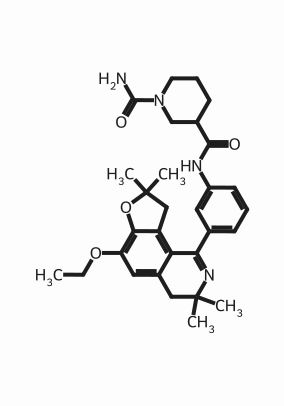 CCOc1cc2c(c3c1OC(C)(C)C3)C(c1cccc(NC(=O)C3CCCN(C(N)=O)C3)c1)=NC(C)(C)C2